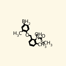 Bc1ccc(OCc2cccc(C)c2N(O)C(=O)SC)c(C)c1